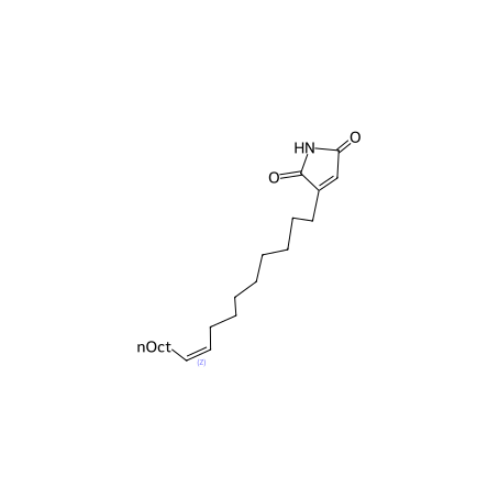 CCCCCCCC/C=C\CCCCCCCCC1=CC(=O)NC1=O